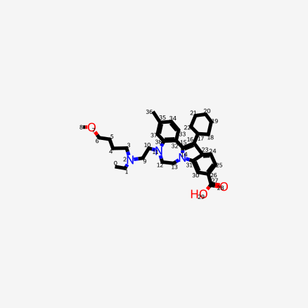 CCN(CCCCOC)CCN1CCn2c(c(C3CCCCC3)c3ccc(C(=O)O)cc32)-c2ccc(C)cc21